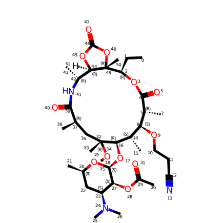 CC[C@H]1OC(=O)[C@H](C)[C@@H](OCCC#N)[C@H](C)[C@@H](O[C@@H]2O[C@H](C)C[C@H](N(C)C)[C@@H]2OC(C)=O)[C@](C)(OC)C[C@@H](C)C(=O)N[C@H](C)[C@H]2OC(=O)O[C@@]21C